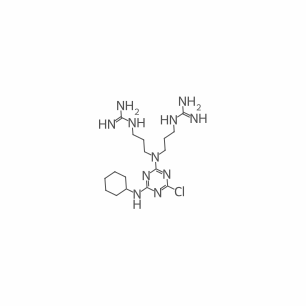 N=C(N)NCCCN(CCCNC(=N)N)c1nc(Cl)nc(NC2CCCCC2)n1